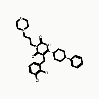 O=c1[nH]c([C@H]2CC[C@H](c3ccccc3)CC2)c(Cc2cccc(Cl)c2Cl)c(=O)n1CCCN1CCOCC1